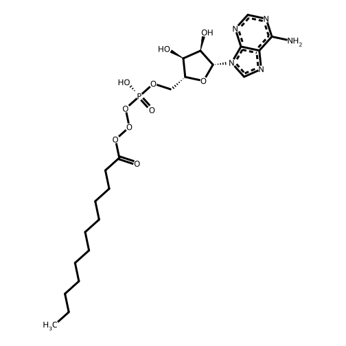 CCCCCCCCCCCC(=O)OOO[P@@](=O)(O)OC[C@H]1O[C@@H](n2cnc3c(N)ncnc32)[C@H](O)[C@@H]1O